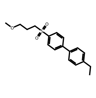 CCc1ccc(-c2ccc(S(=O)(=O)CCCOC)cc2)cc1